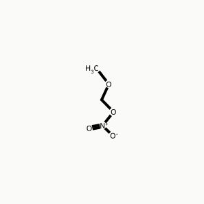 COCO[N+](=O)[O-]